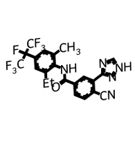 CCc1cc(C(F)(C(F)(F)F)C(F)(F)F)cc(C)c1NC(=O)c1ccc(C#N)c(-c2nc[nH]n2)c1